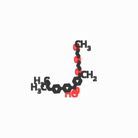 C=C(OCCCOCCCOC)c1ccc(C(OO)c2ccc(-c3ccc(CC(C)CC)cc3)cc2)cc1